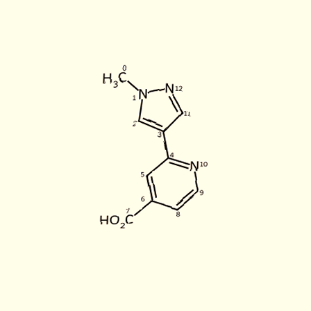 Cn1cc(-c2cc(C(=O)O)ccn2)cn1